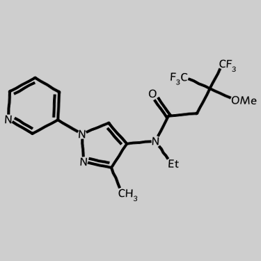 CCN(C(=O)CC(OC)(C(F)(F)F)C(F)(F)F)c1cn(-c2cccnc2)nc1C